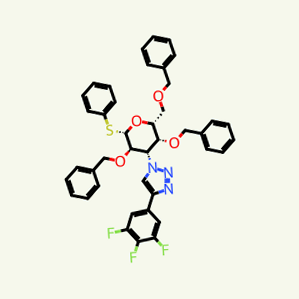 Fc1cc(-c2cn([C@H]3[C@@H](OCc4ccccc4)[C@@H](COCc4ccccc4)O[C@@H](Sc4ccccc4)[C@@H]3OCc3ccccc3)nn2)cc(F)c1F